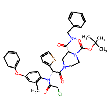 Cc1cc(OC2=CC=CCC2)ccc1N(C(=O)CCl)[C@@H](C(=O)N1CCN(C(=O)OC(C)(C)C)[C@@H](C(=O)NCc2ccccc2)C1)c1cccs1